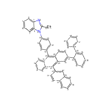 CCc1nc2ccccc2n1-c1ccc(-c2c3ccccc3c(-c3ccc4ccccc4c3)c3cc(-c4ccccc4-c4ccccc4)ccc23)cc1